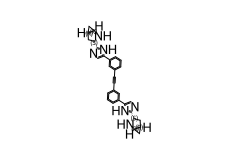 C(#Cc1cccc(-c2cnc([C@@H]3C[C@H]4C[C@H]4N3)[nH]2)c1)c1cccc(-c2cnc([C@@H]3C[C@H]4C[C@H]4N3)[nH]2)c1